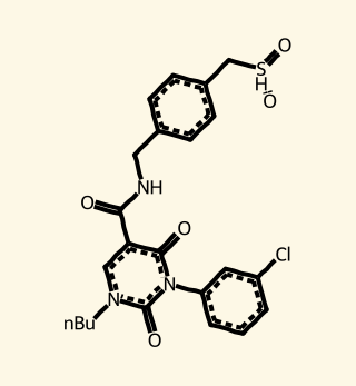 CCCCn1cc(C(=O)NCc2ccc(C[SH](=O)=O)cc2)c(=O)n(-c2cccc(Cl)c2)c1=O